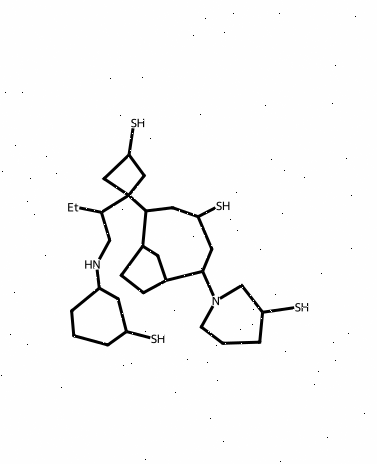 CCC(CNC1CCCC(S)C1)C1(C2CC(S)CC(N3CCCC(S)C3)C3CCC2C3)CC(S)C1